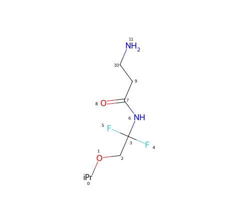 CC(C)OCC(F)(F)NC(=O)CCN